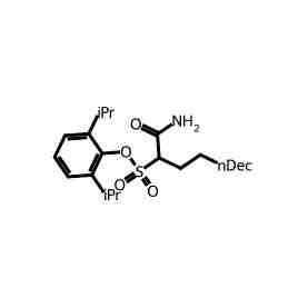 CCCCCCCCCCCCC(C(N)=O)S(=O)(=O)Oc1c(C(C)C)cccc1C(C)C